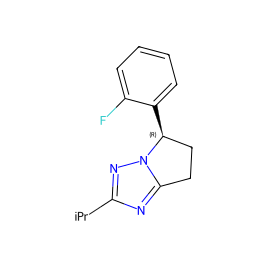 CC(C)c1nc2n(n1)[C@@H](c1ccccc1F)CC2